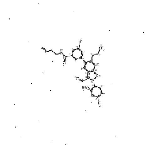 C=CCCNC(=O)c1cc(F)cc(-c2cc3c(C(=O)NC)c(-c4ccc(F)cc4)oc3nc2CCC(F)(F)F)c1